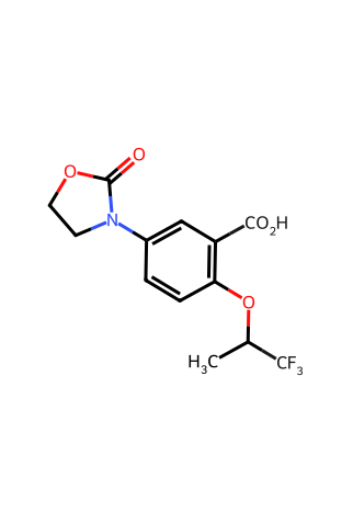 CC(Oc1ccc(N2CCOC2=O)cc1C(=O)O)C(F)(F)F